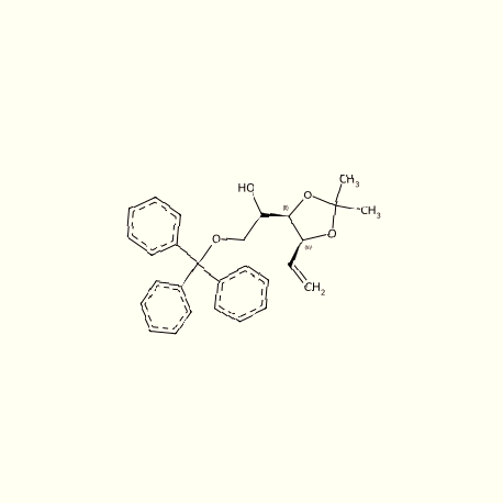 C=C[C@@H]1OC(C)(C)O[C@@H]1C(O)COC(c1ccccc1)(c1ccccc1)c1ccccc1